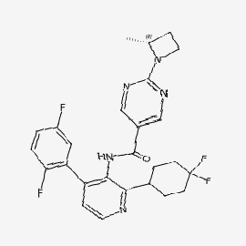 C[C@@H]1CCN1c1ncc(C(=O)Nc2c(-c3cc(F)ccc3F)ccnc2C2CCC(F)(F)CC2)cn1